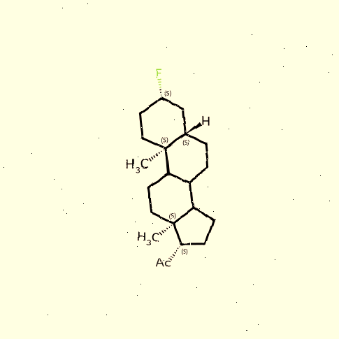 CC(=O)[C@H]1CCC2C3CC[C@H]4C[C@@H](F)CC[C@]4(C)C3CC[C@@]21C